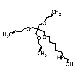 C=CCCOCC(COCC=C)(COCC=C)COCCCCCPCO